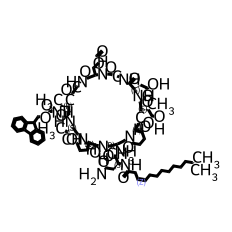 CC(C)CCCCCCC/C=C\CC(=O)N[C@@H](CC(N)=O)C(=O)NC1C(=O)N2CCCC[C@@H]2C(=O)C[C@@H](C(C)C(=O)O)C(=O)N[C@@H](CC(=O)O)C(=O)NCC(=O)NC(COC=O)C(=O)NCC(=O)C[C@H](C(C)NC(=O)OCC2c3ccccc3-c3ccccc32)C(=O)N[C@@H](C(C)C)C(=O)N2CCC[C@H]2C(=O)N[C@@H]1C